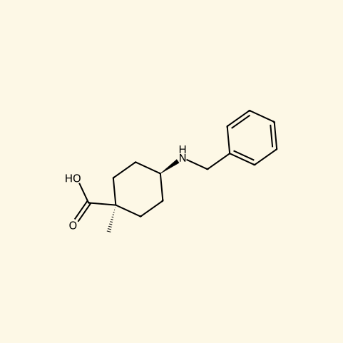 C[C@]1(C(=O)O)CC[C@@H](NCc2ccccc2)CC1